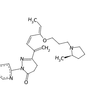 C=C(/C=C\C(=C/C)OCCCN1CCC[C@H]1C)C1=NN(c2ccccn2)C(=O)CC1